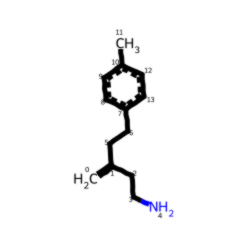 C=C(CCN)CCc1ccc(C)cc1